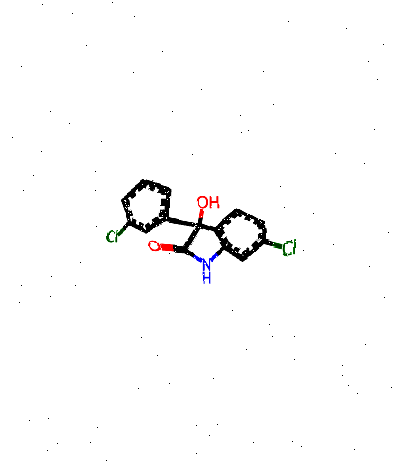 O=C1Nc2cc(Cl)ccc2C1(O)c1cccc(Cl)c1